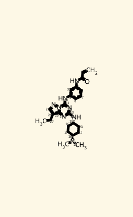 C=CC(=O)Nc1cccc(Nc2nc(N[C@H]3CC[C@H](N(C)C)CC3)nc3c(CC)cnn23)c1